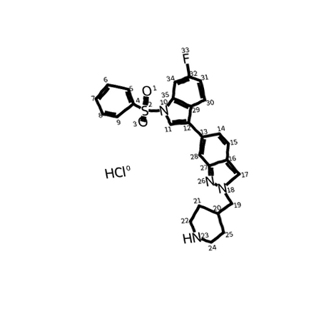 Cl.O=S(=O)(c1ccccc1)n1cc(-c2ccc3cn(CC4CCNCC4)nc3c2)c2ccc(F)cc21